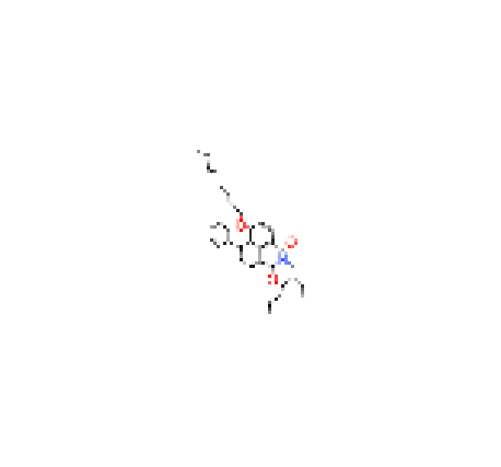 CCCCCCCCOc1ccc2c3c(ccc(-c4ccccc4)c13)C(=O)N(CC(CC)CCCC)C2=O